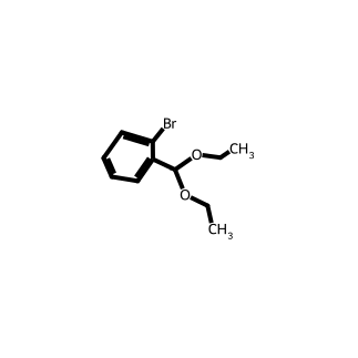 CCO[C](OCC)c1ccccc1Br